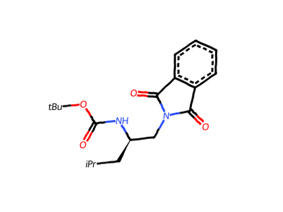 CC(C)C[C@H](CN1C(=O)c2ccccc2C1=O)NC(=O)OC(C)(C)C